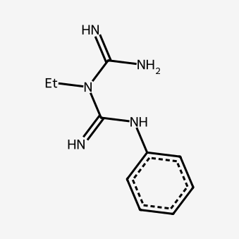 CCN(C(=N)N)C(=N)Nc1ccccc1